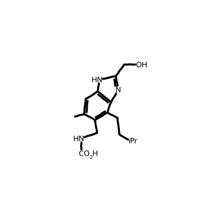 Cc1cc2[nH]c(CO)nc2c(CCC(C)C)c1CNC(=O)O